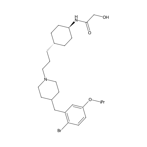 CC(C)Oc1ccc(Br)c(CC2CCN(CCC[C@H]3CC[C@H](NC(=O)CO)CC3)CC2)c1